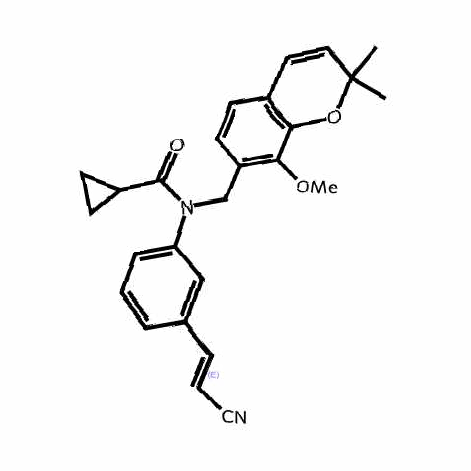 COc1c(CN(C(=O)C2CC2)c2cccc(/C=C/C#N)c2)ccc2c1OC(C)(C)C=C2